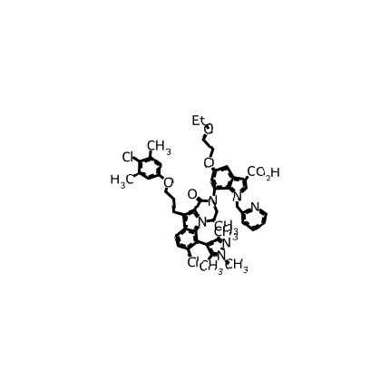 CCOCCOc1cc(N2CC(C)n3c(c(CCCOc4cc(C)c(Cl)c(C)c4)c4ccc(Cl)c(-c5c(C)nn(C)c5C)c43)C2=O)c2c(c1)c(C(=O)O)cn2Cc1ccccn1